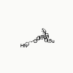 CC(C)(C)OC(=O)N[C@@H](Cc1ccc(OCCCC2CCNCC2)cc1)C(=O)N1CCSC1